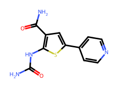 NC(=O)Nc1sc(-c2ccncc2)cc1C(N)=O